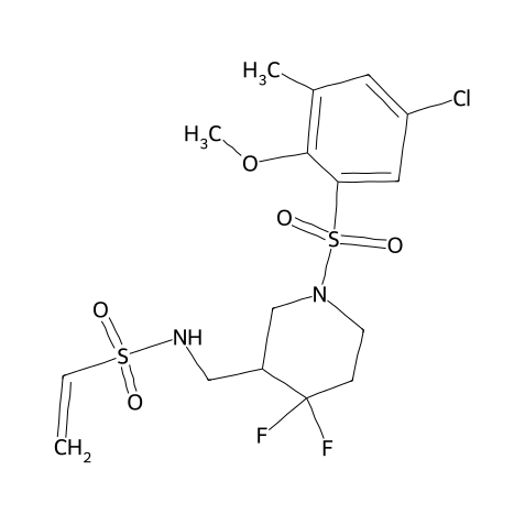 C=CS(=O)(=O)NCC1CN(S(=O)(=O)c2cc(Cl)cc(C)c2OC)CCC1(F)F